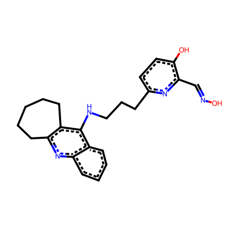 ON=Cc1nc(CCCNc2c3c(nc4ccccc24)CCCCC3)ccc1O